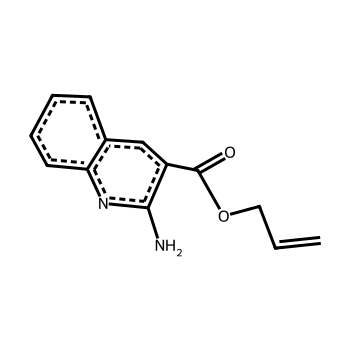 C=CCOC(=O)c1cc2ccccc2nc1N